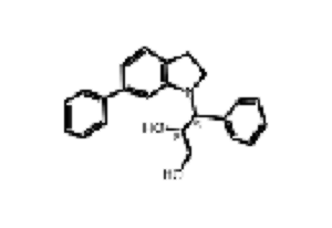 OC[C@@H](O)[C@H](c1ccccc1)N1CCc2ccc(-c3ccccc3)cc21